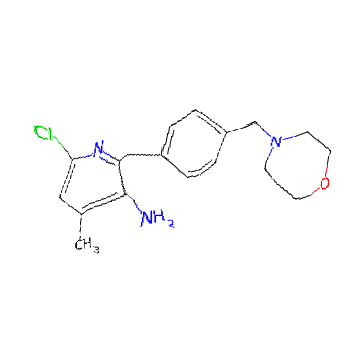 Cc1cc(Cl)nc(-c2ccc(CN3CCOCC3)cc2)c1N